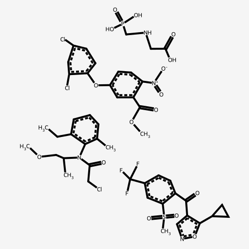 CCc1cccc(C)c1N(C(=O)CCl)C(C)COC.COC(=O)c1cc(Oc2ccc(Cl)cc2Cl)ccc1[N+](=O)[O-].CS(=O)(=O)c1cc(C(F)(F)F)ccc1C(=O)c1cnoc1C1CC1.O=C(O)CNCP(=O)(O)O